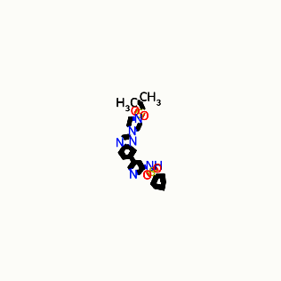 CC(C)CS(=O)(=O)N1CCN(c2cnc3ccc(-c4cncc(NS(=O)(=O)c5ccccc5)c4)cc3n2)CC1